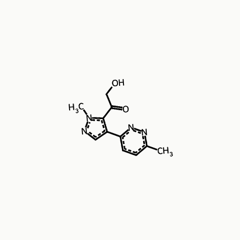 Cc1ccc(-c2cnn(C)c2C(=O)CO)nn1